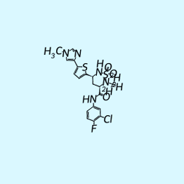 [2H]C([2H])([2H])N1[C@@H](C(=O)Nc2ccc(F)c(Cl)c2)C[C@@H](c2ccc(-c3cn(C)cn3)s2)NS1(=O)=O